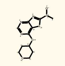 C[S+]([O-])c1nc2ncnc(OC3CCOCC3)c2s1